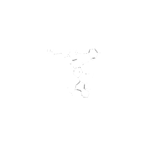 CCCCN(CCCN)C(=O)CN1C[C@H](c2cc(CO)c3c(c2)OCO3)[C@@H](C(=O)O)[C@@H]1CCc1ccccc1OC